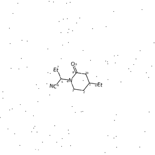 CCC1CCN(C(C#N)CC)C(=O)C1